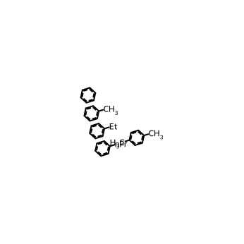 CCCc1ccccc1.CCc1ccccc1.Cc1ccc(C)cc1.Cc1ccccc1.c1ccccc1